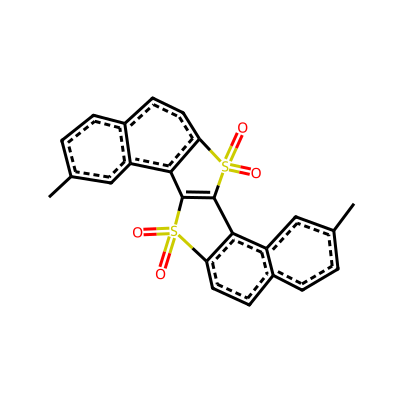 Cc1ccc2ccc3c(c2c1)C1=C(c2c(ccc4ccc(C)cc24)S1(=O)=O)S3(=O)=O